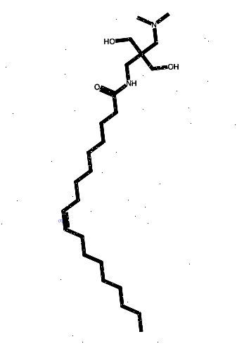 CCCCCCCC/C=C\CCCCCCCC(=O)NCC(CO)(CO)CN(C)C